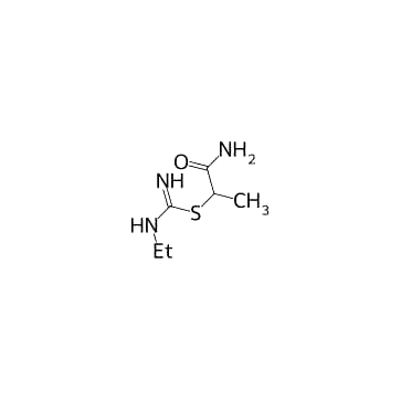 CCNC(=N)SC(C)C(N)=O